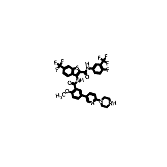 COc1ccc(-c2ccc(N3CCNCC3)nc2)cc1C(=O)Nc1c(C(=O)Nc2ccc(F)c(C(F)(F)F)c2)sc2cc(C(F)(F)F)ccc12